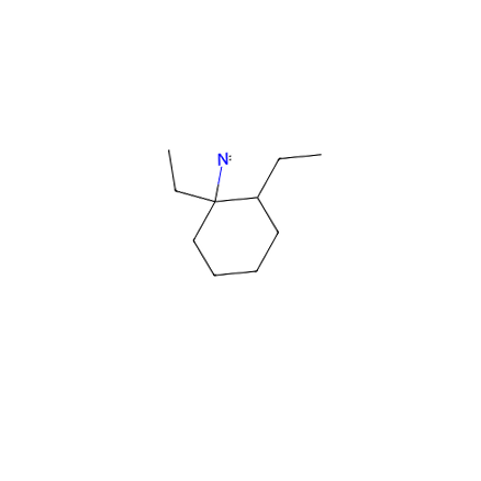 CCC1CCCCC1([N])CC